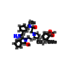 CCCCN(C(=O)CN1C[C@H](c2cc(OC)c3c(c2)OCO3)[C@@H](C(=O)O)[C@@H]1CCN1Cc2ccccc2C1=O)c1cccc(CN)c1